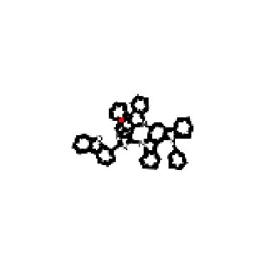 c1ccc(-c2nc(-c3cccc4c3oc3ccccc34)nc(-n3c4ccccc4c4c3c(-n3c5ccccc5c5ccccc53)cc3c5ccccc5n(-c5ccccc5)c34)n2)cc1